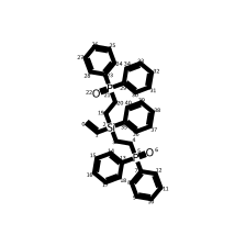 C=C[Si](CCP(=O)(c1ccccc1)c1ccccc1)(CCP(=O)(c1ccccc1)c1ccccc1)c1ccccc1